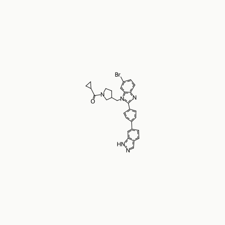 O=C(C1CC1)N1CCC(Cn2c(-c3ccc(-c4ccc5cn[nH]c5c4)cc3)nc3ccc(Br)cc32)C1